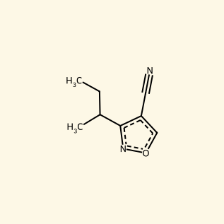 CCC(C)c1nocc1C#N